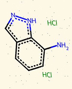 Cl.Cl.Nc1cccc2cn[nH]c12